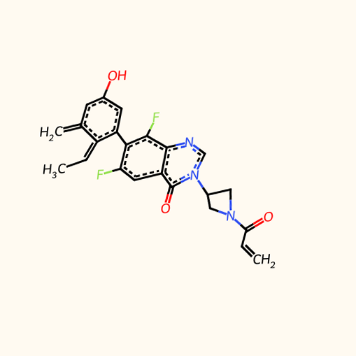 C=CC(=O)N1CC(n2cnc3c(F)c(-c4cc(O)cc(=C)/c4=C\C)c(F)cc3c2=O)C1